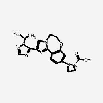 CC(C)n1ncnc1-c1cn2c(n1)-c1ccc(N3CC[C@H]3C(=O)O)cc1OCC2